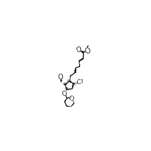 COC(=O)CCCC=CC[C@@H]1[C@@H](C=O)[C@H](OC2CCCCO2)C[C@H]1Cl